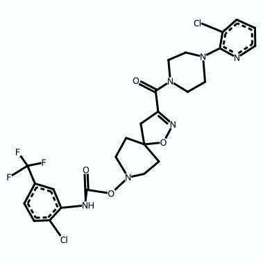 O=C(Nc1cc(C(F)(F)F)ccc1Cl)ON1CCC2(CC1)CC(C(=O)N1CCN(c3ncccc3Cl)CC1)=NO2